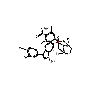 COC(=O)c1c(C)cc(N2C[C@H]3CC[C@@H](C2)N3C(=O)c2ccc3c(-c4ccc(Cl)c(F)c4)cn(C(C)(C)C)c3n2)nc1C